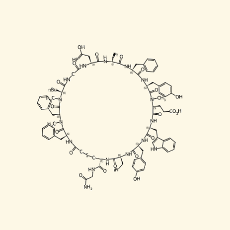 CCCC[C@H]1C(=O)NCC(=O)N[C@@H](CC(O)=P)C(=O)N[C@@H](C(C)C)C(=O)N[C@@H](Cc2ccccc2)C(=O)N[C@@H](Cc2ccc(O)cc2)C(=O)N(C)[C@@H](CCC(=O)O)C(=O)N[C@@H](Cc2c[nH]c3ccccc23)C(=O)N[C@@H](Cc2ccc(O)cc2)C(=O)N[C@@H](CC(C)C)C(=O)N[C@H](C(=O)NCC(N)=O)CSCC(=O)N[C@@H](Cc2ccccc2)C(=O)N(C)[C@@H](Cc2ccccc2)C(=O)N1C